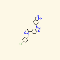 Clc1ccc(Cn2nccc2-c2ccc3nnn(-c4ccc5cn[nH]c5c4)c3c2)cc1